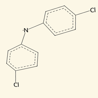 Clc1ccc([N]c2ccc(Cl)cc2)cc1